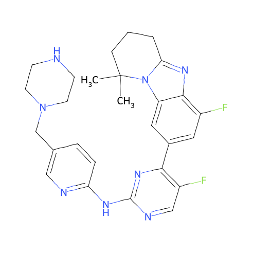 CC1(C)CCCc2nc3c(F)cc(-c4nc(Nc5ccc(CN6CCNCC6)cn5)ncc4F)cc3n21